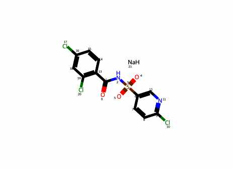 O=C(NS(=O)(=O)c1ccc(Cl)nc1)c1ccc(Cl)cc1Cl.[NaH]